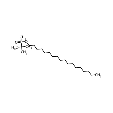 CCCCCCCCCCCCCCCCCCOP(C)(=O)C(C)(C)C